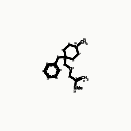 C=C(COCC1(Cc2ccccc2)CCN(C)CC1)NC